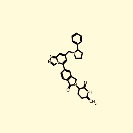 C=C1CCC(N2Cc3cc(-c4cc(CN5CCCC5c5ccccc5)cc5nncn45)ccc3C2=O)C(=O)N1